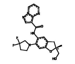 C[C@]1(CO)Cc2cc(NC(=O)c3cnn4cccnc34)c(N3CCC(F)(F)C3)cc2O1